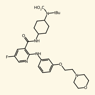 CC(C)(C)N(C(=O)O)C1CCC(NC(=O)c2cc(F)cnc2Nc2cccc(OCCN3CCOCC3)c2)CC1